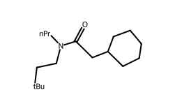 CCCN(CCC(C)(C)C)C(=O)CC1CCCCC1